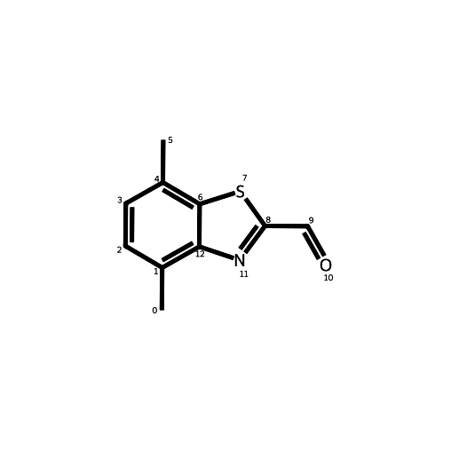 Cc1ccc(C)c2sc(C=O)nc12